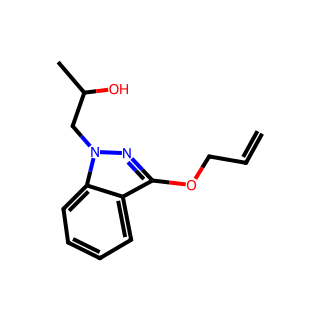 C=CCOc1nn(CC(C)O)c2ccccc12